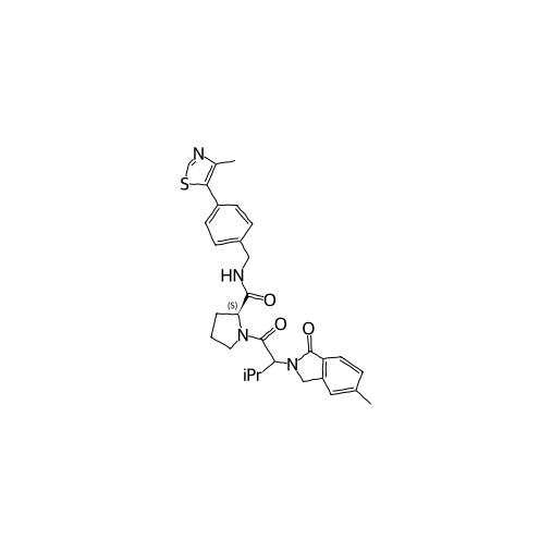 Cc1ccc2c(c1)CN(C(C(=O)N1CCC[C@H]1C(=O)NCc1ccc(-c3scnc3C)cc1)C(C)C)C2=O